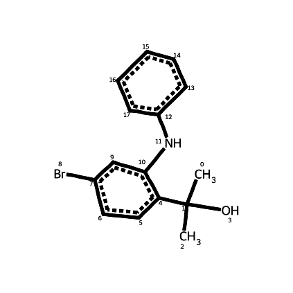 CC(C)(O)c1ccc(Br)cc1Nc1ccccc1